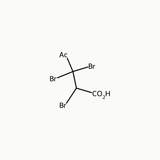 CC(=O)C(Br)(Br)C(Br)C(=O)O